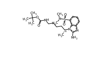 C[C@H](CCCCNC(=O)OC(C)(C)C)n1c(N)nc2cccc(S(=O)(=O)N(C)C)c21